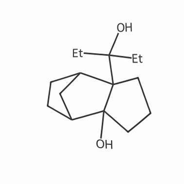 CCC(O)(CC)C12CCCC1(O)C1CCC2C1